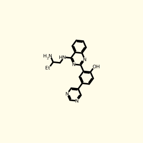 CCC(N)CNc1nc(-c2cc(-c3cncnc3)ccc2O)nc2ccccc12